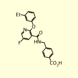 CCc1cccc(Oc2ncc(F)cc2C(=O)NCc2ccc(C(=O)O)cc2)c1